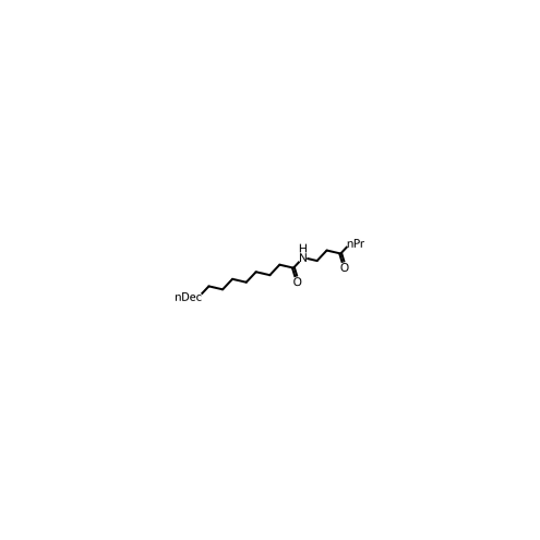 CCCCCCCCCCCCCCCCCC(=O)NCCC(=O)CCC